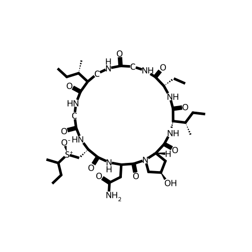 CCC(C)[S@@+]([O-])C[C@@H]1NC(=O)CNC(=O)C([C@@H](C)CC)CNC(=O)CNC(=O)[C@H](CC)NC(=O)[C@H]([C@@H](C)CC)NC(=O)[C@@H]2C[C@@H](O)CN2C(=O)C(CC(N)=O)NC1=O